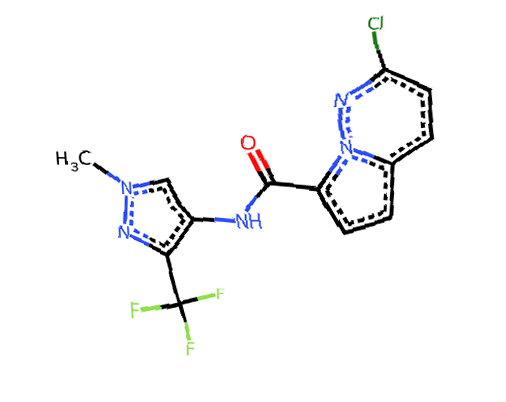 Cn1cc(NC(=O)c2ccc3ccc(Cl)nn23)c(C(F)(F)F)n1